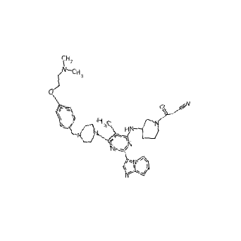 Cc1c(NC2CCCN(C(=O)CC#N)C2)nc(-c2cnc3ccccn23)nc1N1CCN(Cc2ccc(OCCN(C)C)cc2)CC1